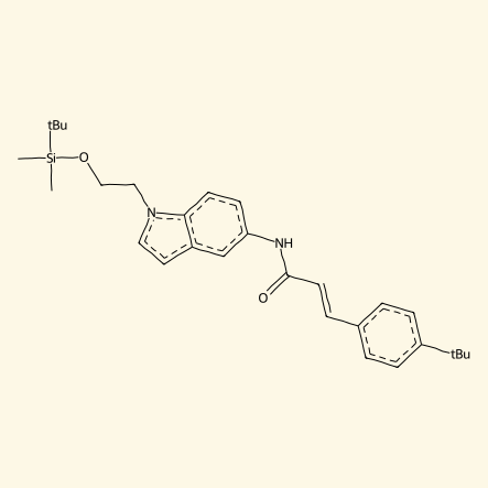 CC(C)(C)c1ccc(/C=C/C(=O)Nc2ccc3c(ccn3CCO[Si](C)(C)C(C)(C)C)c2)cc1